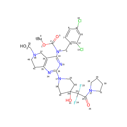 CC(C)(C)OC(=O)N(Cc1ccc(Cl)cc1Cl)c1nc(N2CCC(O)(C(F)(F)C(=O)N3CCCC3)CC2)nc2c1CN(C(=O)O)CC2